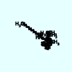 CCCCCCC/C=C/CCCCCCC(=O)NCCCC[C@@H](C(=O)OCC[Si](C)(C)C)N(C(=O)OC)C1c2ccccc2-c2ccccc21